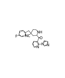 N#CC1(Cc2ccc(F)cc2)CCNC(C(=O)c2cccnc2-n2ccnc2)C1